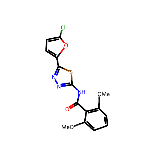 COc1cccc(OC)c1C(=O)Nc1nnc(-c2ccc(Cl)o2)s1